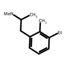 CCc1cccc(CC(C)NC)c1C